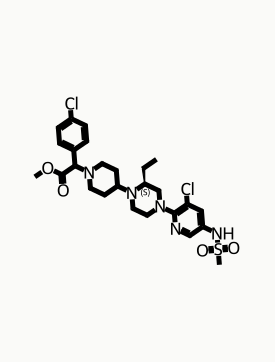 CC[C@H]1CN(c2ncc(NS(C)(=O)=O)cc2Cl)CCN1C1CCN(C(C(=O)OC)c2ccc(Cl)cc2)CC1